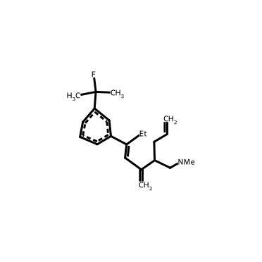 C=CCC(CNC)C(=C)/C=C(\CC)c1cccc(C(C)(C)F)c1